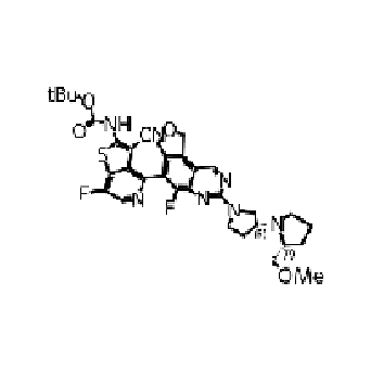 COC[C@H]1CCCN1[C@@H]1CCN(c2ncc3c4c(c(-c5ncc(F)c6sc(NC(=O)OC(C)(C)C)c(C#N)c56)c(F)c3n2)COC4)C1